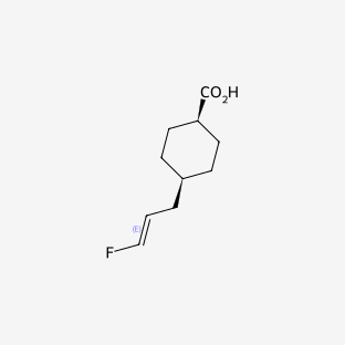 O=C(O)[C@H]1CC[C@@H](C/C=C/F)CC1